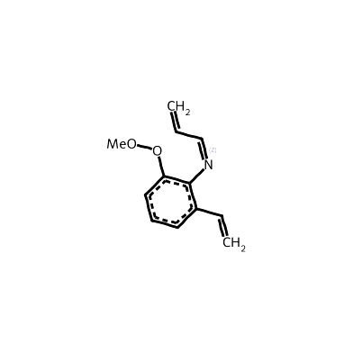 C=C/C=N\c1c(C=C)cccc1OOC